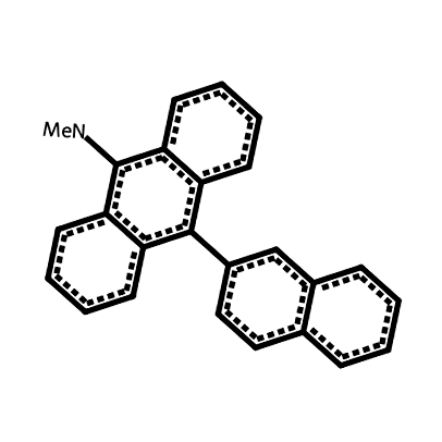 CNc1c2ccccc2c(-c2ccc3ccccc3c2)c2ccccc12